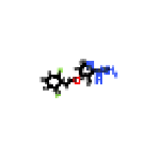 Cc1c(OCCc2c(F)cccc2F)ccnc1NN